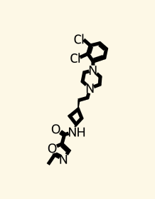 Cc1ncc(C(=O)N[C@H]2C[C@H](CCN3CCN(c4cccc(Cl)c4Cl)CC3)C2)o1